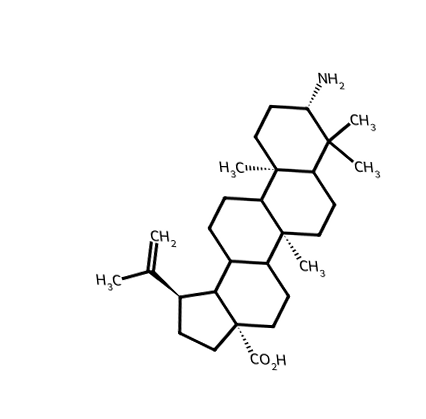 C=C(C)[C@@H]1CC[C@]2(C(=O)O)CCC3C(CCC4[C@@]3(C)CCC3C(C)(C)[C@@H](N)CC[C@@]34C)C12